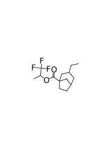 CCC1CC2CCC(C(=O)OC(C)C(F)(F)F)(C1)C2